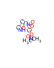 CN(C)C(=O)Oc1ccc2c(c1)OC(=O)N(Cc1cccc(-c3ccc[nH]c3=O)c1F)C2